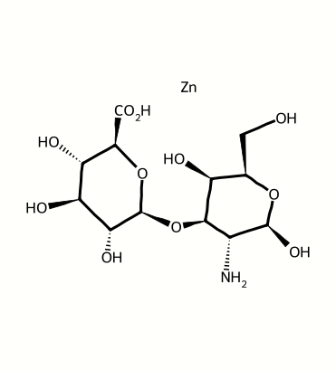 N[C@@H]1[C@@H](O[C@@H]2O[C@H](C(=O)O)[C@@H](O)[C@H](O)[C@H]2O)[C@@H](O)[C@@H](CO)O[C@H]1O.[Zn]